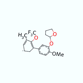 COc1ccc(C2=C(OC(F)(F)F)C(C)=C[CH]C2)cc1OC1CCCO1